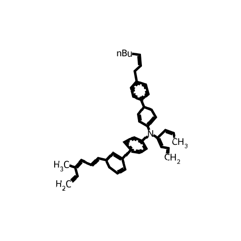 C=C/C=C(\C=C/C)N(C1=CCC(c2ccc(C/C=C\CCCC)cc2)C=C1)c1ccc(C2=CC(/C=C/C=C(/C)C=C)CC=C2)cc1